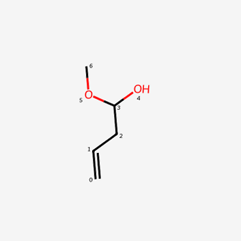 C=CCC(O)OC